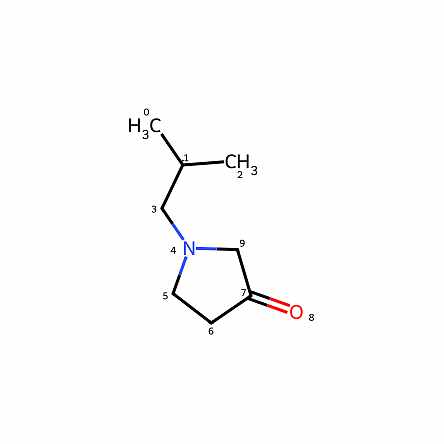 C[C](C)CN1CCC(=O)C1